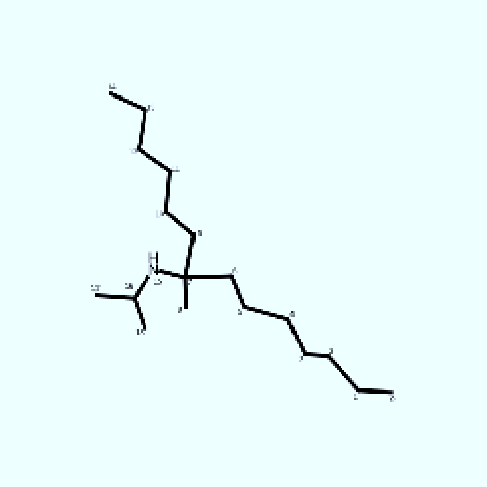 CCCCCCCC(C)(CCCCCC)NC(C)C